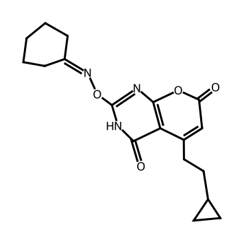 O=c1cc(CCC2CC2)c2c(=O)[nH]c(ON=C3CCCCC3)nc2o1